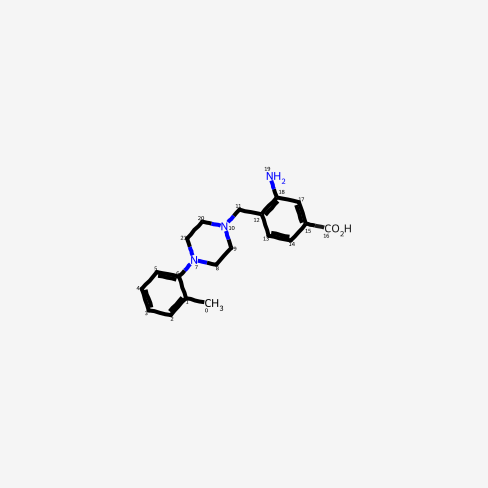 Cc1ccccc1N1CCN(Cc2ccc(C(=O)O)cc2N)CC1